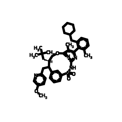 COc1ccc(CC2c3cccc(c3)S(=O)(=O)Nc3nc(c(C)c(-c4c(C)cccc4CC4CCCCC4)n3)OC[C@H]2CC(C)(C)C)nc1